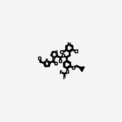 O=Cc1ccc(C(=O)N2CCSC2C(=O)OC(Cc2c(Cl)cncc2Cl)c2ccc(OC(F)F)c(OCC3CC3)c2)s1